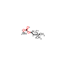 CC(C)(C)OC(=O)OCC[Si](C)(C)C